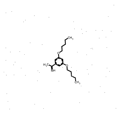 CCCCCOc1cc(OCCCCC)cc(C(C)=N)c1